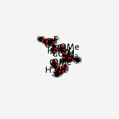 COC(=O)c1cc(C)c(C#Cc2cc(F)ccc2NS(=O)(=O)c2ccc(-c3ccccc3)cc2)cn1.COC(=O)c1ccc(C#Cc2ccccc2N(Cc2ccc3ccccc3c2)C(N)=O)cn1.Cc1cc(C(=O)O)ncc1C#Cc1cc(F)ccc1NS(=O)(=O)c1ccc(-c2ccccc2)cc1